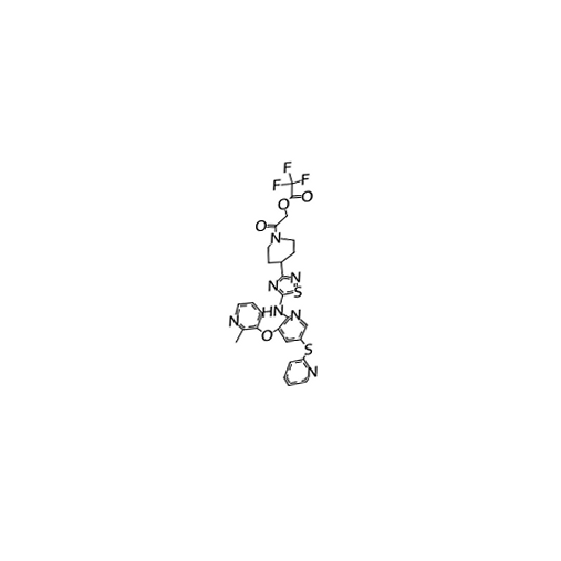 Cc1ncccc1Oc1cc(Sc2ccccn2)cnc1Nc1nc(C2CCN(C(=O)COC(=O)C(F)(F)F)CC2)ns1